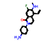 C=Cc1c(NC)c(F)cc2c(=O)n(-c3ccc(N)cc3)ccc12